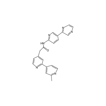 Cc1cc(-c2cc(CC(=O)Nc3ccc(-c4cnccn4)cn3)ccn2)ccn1